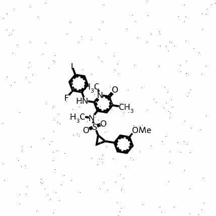 COc1cccc(C2CC2S(=O)(=O)N(C)c2cc(C)c(=O)n(C)c2Nc2ccc(I)cc2F)c1